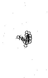 Cc1ccc(C)c(N2CCN(C(=O)C3CN(S(=O)(=O)c4cccc5ccccc45)C(=O)N3C(=O)OCc3ccccc3)CC2)c1